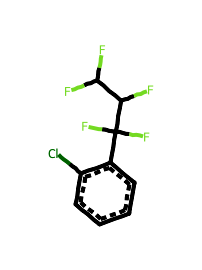 FC(F)C(F)C(F)(F)c1ccccc1Cl